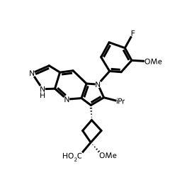 COc1cc(-n2c(C(C)C)c([C@H]3C[C@](OC)(C(=O)O)C3)c3nc4[nH]ncc4cc32)ccc1F